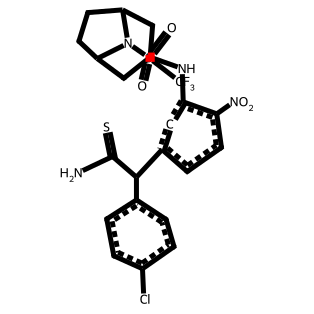 NC(=S)C(c1ccc(Cl)cc1)c1ccc([N+](=O)[O-])c(NC2CC3CCC(C2)N3S(=O)(=O)C(F)(F)F)c1